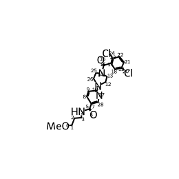 COCCCNC(=O)c1ccc(N2CCN(C(=O)c3cc(Cl)ccc3Cl)CC2)nc1